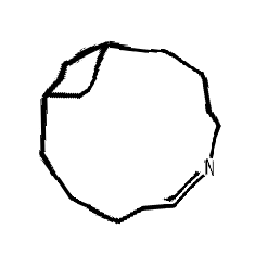 C1=N\CCCC2CC(CCC/1)C2